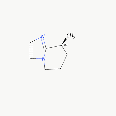 C[C@H]1CCCn2ccnc21